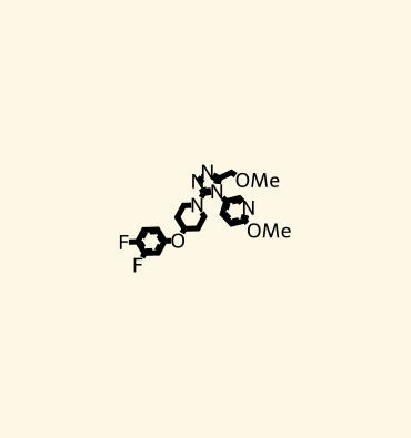 COCc1nnc(N2CCC(Oc3ccc(F)c(F)c3)CC2)n1-c1ccc(OC)nc1